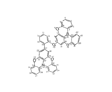 c1ccc2c(c1)Oc1cc(Oc3ccccc3-c3cc4c5c(c3)Oc3ccccc3N5c3ccccc3O4)cc3c1B2c1ccccc1O3